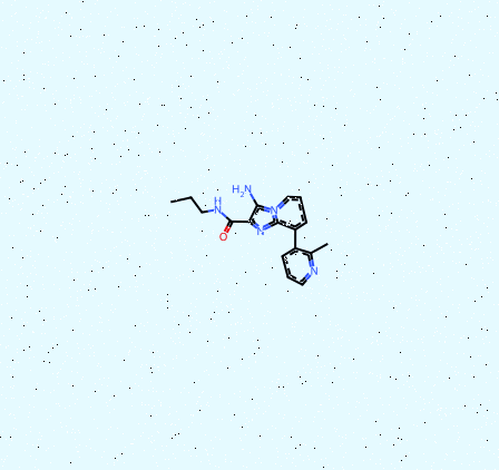 CCCNC(=O)c1nc2c(-c3cccnc3C)cccn2c1N